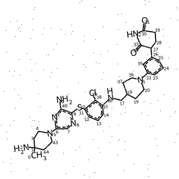 CC1(N)CCN(c2cnc(Sc3cccc(NCC4CCN(c5cccc(C6CCC(=O)NC6=O)c5)CC4)c3Cl)c(N)n2)CC1